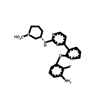 Nc1cccc(Oc2ncccc2-c2ccnc(N[C@H]3CCCN(C(=O)O)C3)n2)c1F